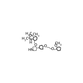 C=C1Nc2c(CO[C@H]3CNCC[C@@H]3c3ccc(OCCCOCc4ccccc4OC)cc3)cccc2C(C)(C)O1